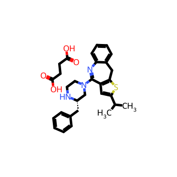 CC(C)c1cc2c(s1)Cc1ccccc1N=C2N1CCN[C@@H](Cc2ccccc2)C1.O=C(O)CCC(=O)O